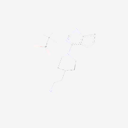 NCCC1CCN(c2ncnc3ccsc23)CC1.O=C(O)C(F)(F)F